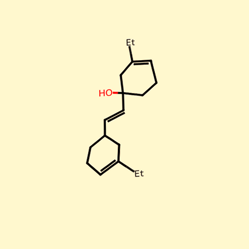 CCC1=CCCC(C=CC2(O)CCC=C(CC)C2)C1